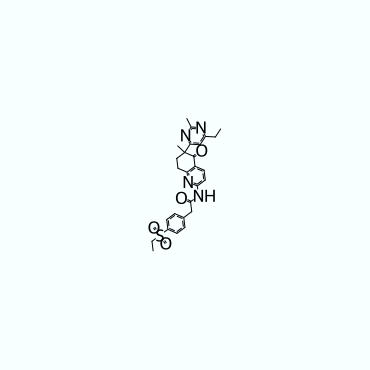 CCc1cc(C2(C)CCc3nc(NC(=O)Cc4ccc(S(=O)(=O)CC)cc4)ccc3C2=O)nc(C)n1